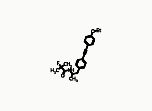 CCOc1ccc(C#Cc2ccc(CC(C)NC(=O)C(C)(C)F)cc2)cc1